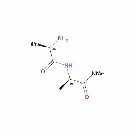 CNC(=O)[C@@H](C)NC(=O)[C@H](N)C(C)C